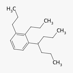 CCC[C](CCC)c1cccc(CCC)c1CCC